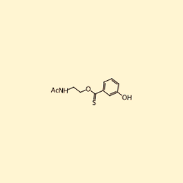 CC(=O)NCCOC(=S)c1cccc(O)c1